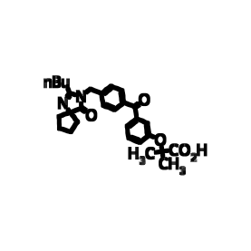 CCCCC1=NC2(CCCC2)C(=O)N1Cc1ccc(C(=O)c2cccc(OC(C)(C)C(=O)O)c2)cc1